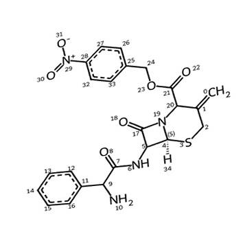 C=C1CS[C@H]2C(NC(=O)C(N)c3ccccc3)C(=O)N2C1C(=O)OCc1ccc([N+](=O)[O-])cc1